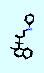 C=C(C=CNc1ccccc1)C(C)(C)c1c(C)ccc2ccccc12